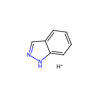 [H+].[c]1ccc2[nH]ncc2c1